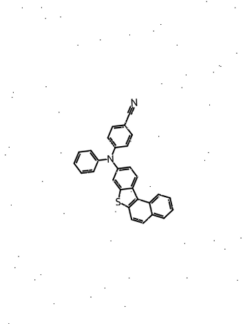 N#Cc1ccc(N(c2ccccc2)c2ccc3c(c2)sc2ccc4ccccc4c23)cc1